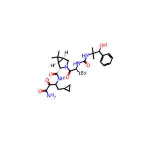 CC(C)(NC(=O)N[C@H](C(=O)N1C[C@H]2[C@@H]([C@H]1C(=O)NC(CC1CC1)C(=O)C(N)=O)C2(C)C)C(C)(C)C)C(O)c1ccccc1